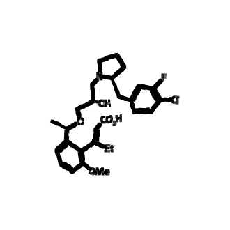 CC/C(=C\C(=O)O)c1c(OC)cccc1[C@@H](C)OC[C@@H](O)CN1CCC[C@H]1Cc1ccc(Cl)c(F)c1